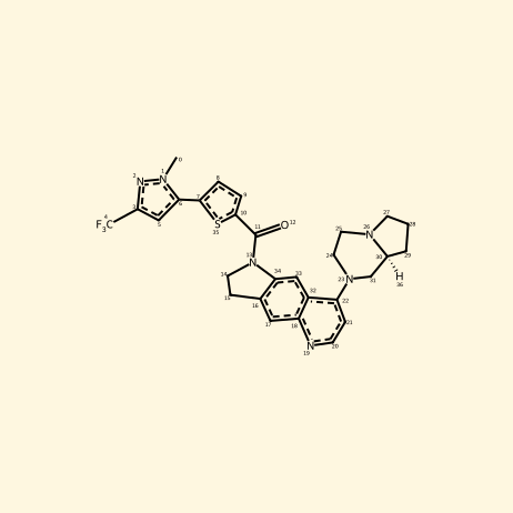 Cn1nc(C(F)(F)F)cc1-c1ccc(C(=O)N2CCc3cc4nccc(N5CCN6CCC[C@H]6C5)c4cc32)s1